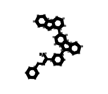 N/C(=N\Cc1ccccc1)c1cccc(-n2c3ccccc3c3cc(-c4cccc5c4sc4ccccc45)ccc32)c1